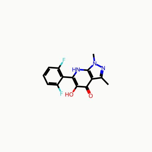 Cc1nn(C)c2[nH]c(-c3c(F)cccc3F)c(O)c(=O)c12